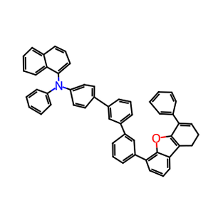 C1=C(c2ccccc2)c2oc3c(-c4cccc(-c5cccc(-c6ccc(N(c7ccccc7)c7cccc8ccccc78)cc6)c5)c4)cccc3c2CC1